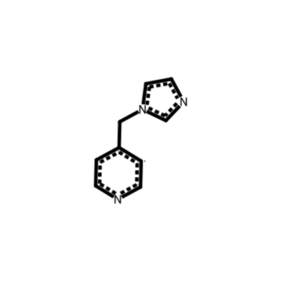 [c]1cnccc1Cn1ccnc1